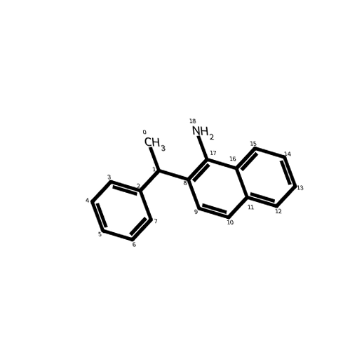 CC(c1ccccc1)c1ccc2ccccc2c1N